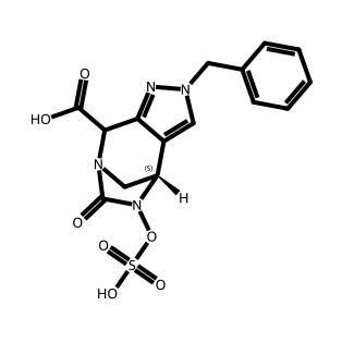 O=C(O)C1c2nn(Cc3ccccc3)cc2[C@H]2CN1C(=O)N2OS(=O)(=O)O